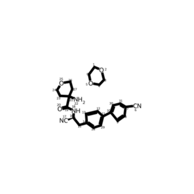 C1COCCO1.N#Cc1ccc(-c2ccc(C[C@@H](C#N)NC(=O)C3(N)CCOCC3)cc2)cc1